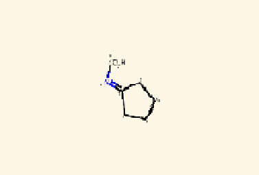 O=C(O)N=C1CCCC1